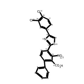 O=C(O)c1c(-c2ccccc2)ccc(-c2nc(-c3ccc(Cl)c(Cl)c3)cs2)c1[N+](=O)[O-]